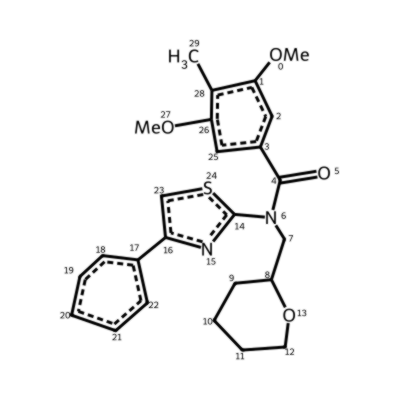 COc1cc(C(=O)N(CC2CCCCO2)c2nc(-c3ccccc3)cs2)cc(OC)c1C